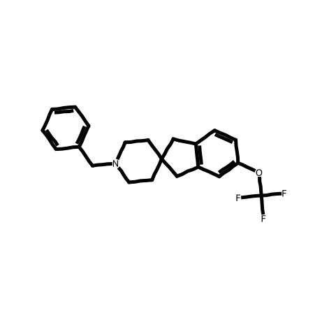 FC(F)(F)Oc1ccc2c(c1)CC1(CCN(Cc3ccccc3)CC1)C2